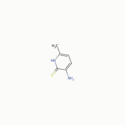 Cc1ccc(N)c(=S)[nH]1